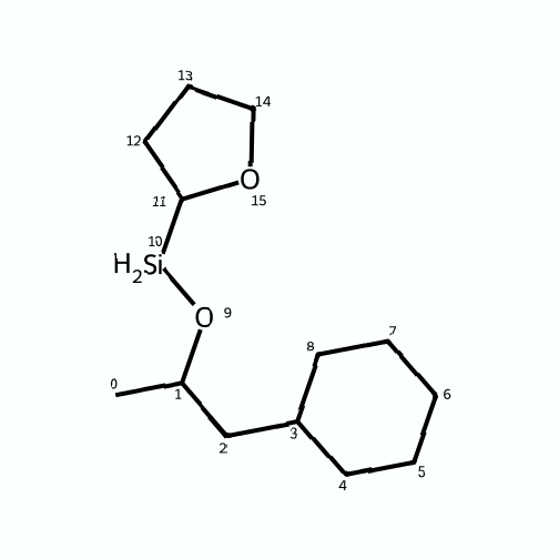 CC(CC1CCCCC1)O[SiH2]C1CCCO1